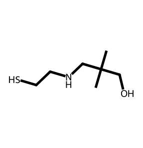 CC(C)(CO)CNCCS